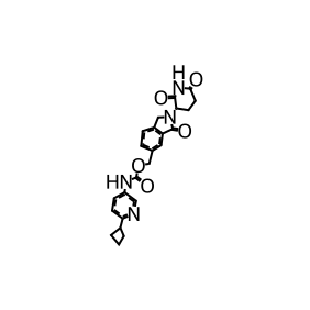 O=C1CCC(N2Cc3ccc(COC(=O)Nc4ccc(C5CCC5)nc4)cc3C2=O)C(=O)N1